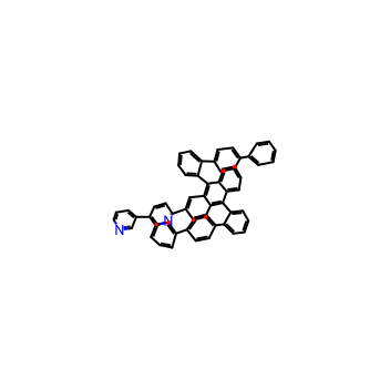 c1ccc(-c2ccc(-c3ccccc3-c3c4ccccc4c(-c4ccccc4-c4ccc(-c5ccccc5)cc4)c4cc(-c5ccc(-c6cccnc6)cn5)ccc34)cc2)cc1